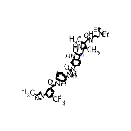 CCN(CC)CCNC(=O)c1c(C)[nH]c(/C=C2\C(=O)Nc3cc(NC(=O)Nc4cccc(NC(=O)c5cc(-n6cnc(C)c6)cc(C(F)(F)F)c5)c4)ccc32)c1C